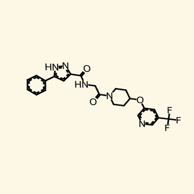 O=C(NCC(=O)N1CCC(Oc2cncc(C(F)(F)F)c2)CC1)c1cc(-c2ccccc2)[nH]n1